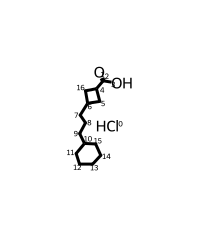 Cl.O=C(O)C1CC(CCCC2CCCCC2)C1